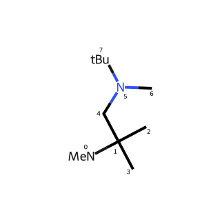 CNC(C)(C)CN(C)C(C)(C)C